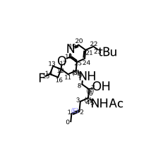 C/C=C/C[C@H](NC(C)=O)[C@H](O)CN[C@H]1CC2(CC(F)C2)Oc2ncc(CC(C)(C)C)cc21